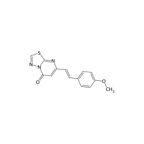 COc1ccc(/C=C/c2cc(=O)n3ncsc3n2)cc1